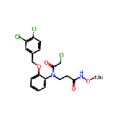 CC(C)(C)ONC(=O)CCN(C(=O)CCl)c1ccccc1OCc1ccc(Cl)c(Cl)c1